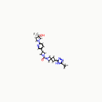 O=C(N1CC(c2ccc(N3CCC(O)(C(F)(F)F)C3)nc2)C1)N1CC2(CC(c3nnc(C4CC4)[nH]3)C2)C1